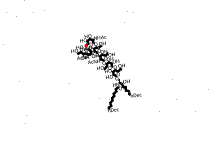 CCCCCCCCCCCCC/C=C/[C@@H](O)[C@H](CO[C@@H]1OC(CO)[C@@H](O[C@@H]2OC(CO)[C@H](O[C@@H]3OC(CO)[C@H](O)[C@H](O[C@@H]4OC(CO)[C@H](O[C@@H]5OC(CO)[C@H](O)[C@H](O)C5NC(C)=O)[C@H](O[C@]5(C(=O)O)CC(O)[C@@H](NC(C)=O)C([C@H](O)[C@H](O)CO)O5)C4O)C3NC(C)=O)[C@H](O)C2O)[C@H](O)C1O)NC(=O)CCCCCCCCCCCCCCCCCCC